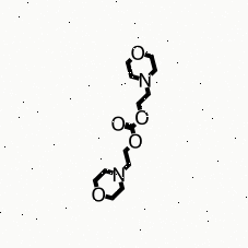 O=C(OCCN1CCOCC1)OCCN1CCOCC1